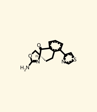 NC1=N[C@@]2(CCc3c(cccc3-c3cscn3)C2=O)CO1